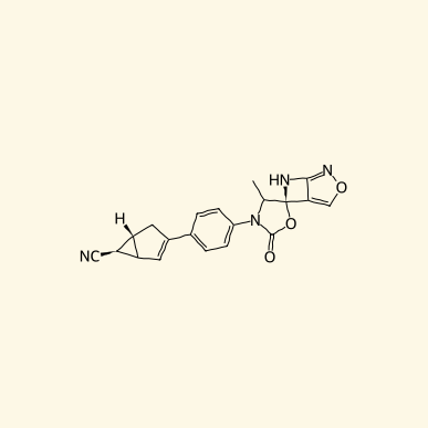 CC1N(c2ccc(C3=CC4[C@@H](C#N)[C@@H]4C3)cc2)C(=O)O[C@]12Nc1nocc12